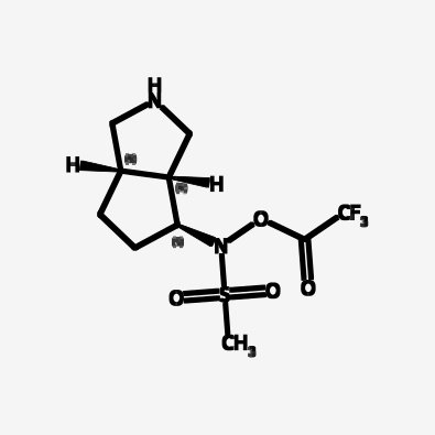 CS(=O)(=O)N(OC(=O)C(F)(F)F)[C@H]1CC[C@@H]2CNC[C@@H]21